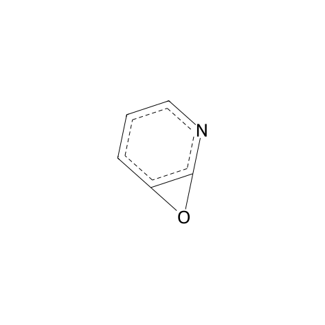 c1cnc2c(c1)O2